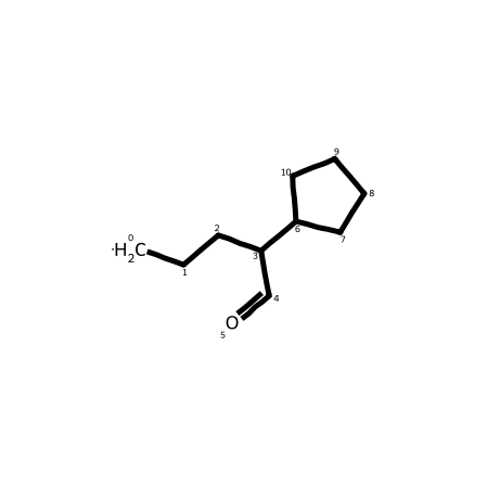 [CH2]CCC(C=O)C1CCCC1